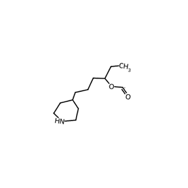 CCC(CCCC1CCNCC1)O[C]=O